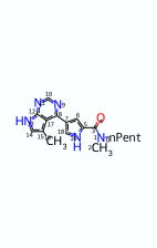 CCCCCN(C)C(=O)c1cc(-c2ncnc3[nH]cc(C)c23)c[nH]1